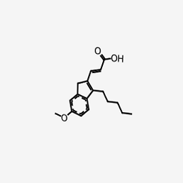 CCCCCC1=C(C=CC(=O)O)Cc2cc(OC)ccc21